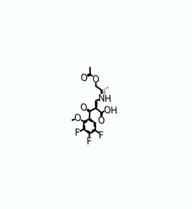 COc1c(C(=O)C(=CN[C@@H](C)COC(C)=O)C(=O)O)cc(F)c(F)c1F